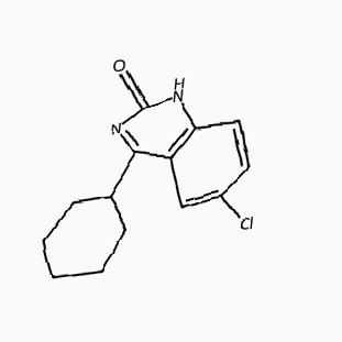 O=c1nc(C2CCCCC2)c2cc(Cl)ccc2[nH]1